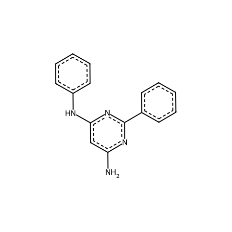 Nc1cc(Nc2ccccc2)nc(-c2ccccc2)n1